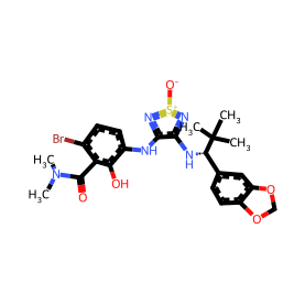 CN(C)C(=O)c1c(Br)ccc(Nc2n[s+]([O-])nc2N[C@@H](c2ccc3c(c2)OCO3)C(C)(C)C)c1O